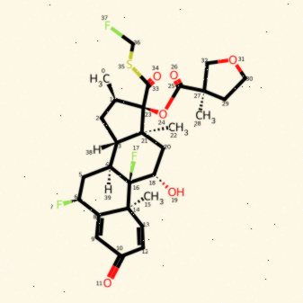 C[C@@H]1C[C@H]2[C@@H]3C[C@H](F)C4=CC(=O)C=C[C@]4(C)[C@@]3(F)[C@@H](O)C[C@]2(C)[C@@]1(OC(=O)[C@]1(C)CCOC1)C(=O)SCF